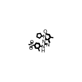 Cc1cc(S(C)(=O)=O)ccc1Nc1ncc2c(C)cc(=O)n(C3CCCC3)c2n1